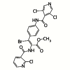 COC(=O)C(NC(=O)c1cccnc1Cl)=C(Br)c1ccc(NC(=O)c2c(Cl)cncc2Cl)cc1